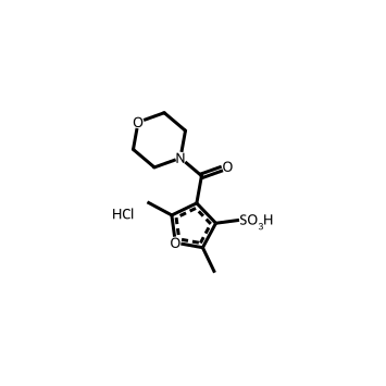 Cc1oc(C)c(S(=O)(=O)O)c1C(=O)N1CCOCC1.Cl